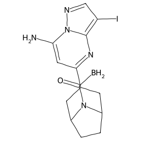 BC(=O)N1C2CCC1CC(c1cc(N)n3ncc(I)c3n1)C2